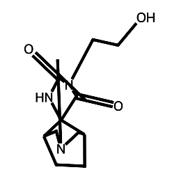 CN1CC2CCC(C1)C21NC(=O)N(CCO)C1=O